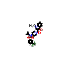 Cn1cc(C(=O)N2CCC(N(C3CC3)S(=O)(=O)c3cccc(C(F)(F)F)c3)CC2)c(=O)c2ccccc21